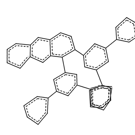 c1ccc(-c2cc(-c3ccccc3)cc(-c3ccc4cc5ccccc5cc4c3-c3cc(-c4ccccc4)cc(-c4ccccc4)c3)c2)cc1